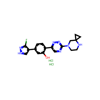 Cl.Cl.Oc1cc(-c2c[nH]nc2F)ccc1-c1cnc(N2CCNC3(CC3)C2)nn1